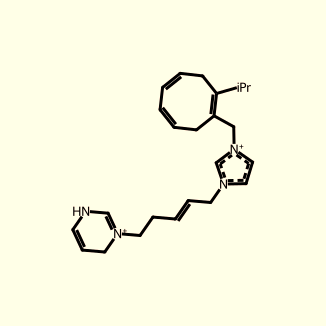 CC(C)/C1=C(\C[n+]2ccn(C/C=C/CC[N+]3=CNC=CC3)c2)C/C=C\C=CC1